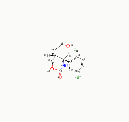 O=C1N[C@@]2(c3cc(Br)ccc3F)COCC[C@H]2CO1